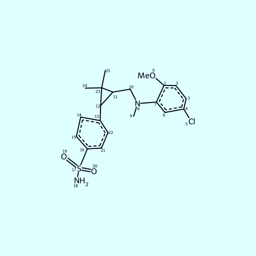 COc1ccc(Cl)cc1N(C)CC1C(c2ccc(S(N)(=O)=O)cc2)C1(C)C